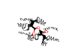 CCCCCCOC(OC(OCCCCCC)C(OC)=C(CCC)OC)C(OC)=C(CCC)OC